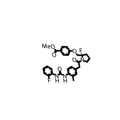 COC(=O)c1ccc(OC[C@@]2(F)CCCN2C(=O)Cc2ccc(NC(=O)Nc3ccccc3F)c(C)c2)cc1